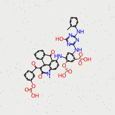 Cc1ccccc1Nc1nc(O)nc(Nc2cc(Nc3ccc4c5c3C(=O)c3ccccc3-c5c(C(=O)c3cccc(OS(=O)O)c3)c(=O)n4C)c(OS(=O)O)cc2S(=O)(=O)O)n1